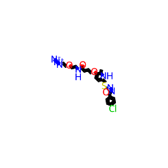 CC1NC(CSc2nnc(-c3ccc(Cl)cc3)o2)=CC=C1OCCCC(=O)NCCOCCN=[N+]=[N-]